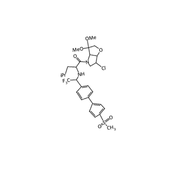 COC1(OC)COC2C(Cl)CN(C(=O)C(CC(C)C)NC(c3ccc(-c4ccc(S(C)(=O)=O)cc4)cc3)C(F)(F)F)C21